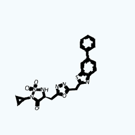 O=C1[C@H](Cc2nnc(Cc3nc4ccc(-c5ccccc5)cc4s3)o2)NS(=O)(=O)N1C1CC1